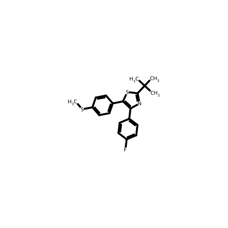 CSc1ccc(-c2sc(C(C)(C)C)nc2-c2ccc(F)cc2)cc1